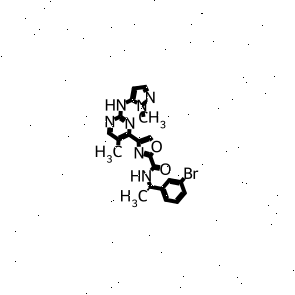 Cc1cnc(Nc2ccnn2C)nc1-c1coc(C(=O)N[C@@H](C)c2cccc(Br)c2)n1